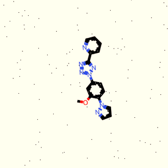 COc1cc(-n2nnc(-c3ccccn3)n2)ccc1-n1cccn1